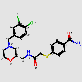 NC(=O)c1ccc(SCC(=O)NC[C@H]2CN(Cc3ccc(Cl)c(Cl)c3)CCO2)cc1